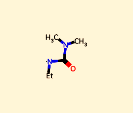 CC[N]C(=O)N(C)C